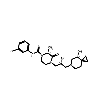 C[C@H]1C(=O)N(C[C@H](O)CN2CCC3(CC3)[C@H](O)C2)CCN1C(=O)Nc1cccc(Cl)c1